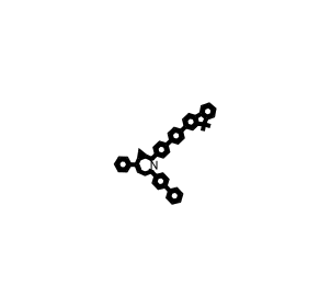 CC1(C)c2ccccc2-c2ccc(-c3ccc(-c4ccc(C5/N=C(/c6ccc(-c7ccccc7)cc6)C/C=C(/c6ccccc6)C6CC65)cc4)cc3)cc21